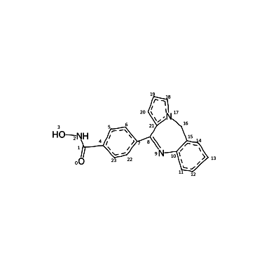 O=C(NO)c1ccc(C2=Nc3ccccc3Cn3cccc32)cc1